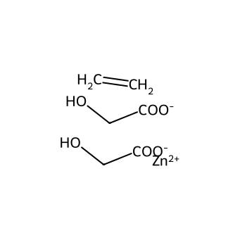 C=C.O=C([O-])CO.O=C([O-])CO.[Zn+2]